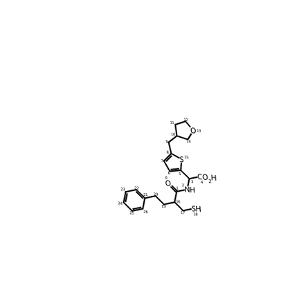 O=C(NC(C(=O)O)c1ccc(CC2CCOC2)s1)C(CS)CCc1ccccc1